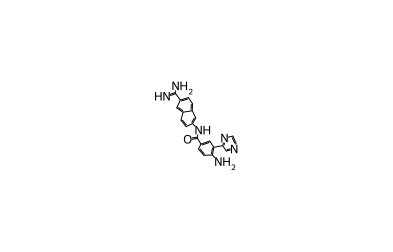 N=C(N)c1ccc2cc(NC(=O)c3ccc(N)c(-c4cnccn4)c3)ccc2c1